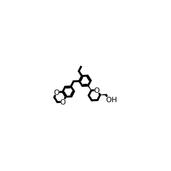 CCc1ccc([C@@H]2CCC[C@H](CO)O2)cc1Cc1ccc2c(c1)OCCO2